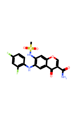 CS(=O)(=O)Nc1cc2occ(C(N)=O)c(=O)c2cc1Nc1ccc(F)cc1F